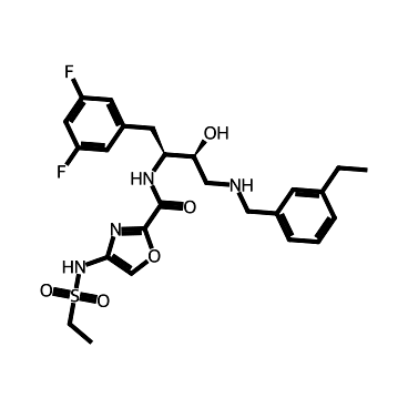 CCc1cccc(CNC[C@H](O)[C@H](Cc2cc(F)cc(F)c2)NC(=O)c2nc(NS(=O)(=O)CC)co2)c1